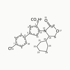 O=C(O)c1sc(-c2ccc(Cl)cc2)cc1N1C(=O)COCC1C1CCCCC1